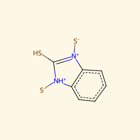 [S-][N+]1=C(S)[NH+]([S-])c2ccccc21